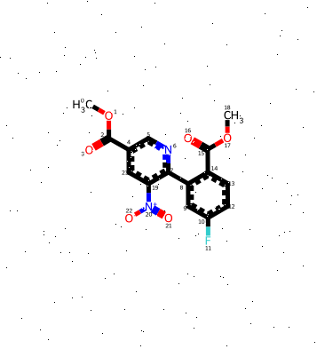 COC(=O)c1cnc(-c2cc(F)ccc2C(=O)OC)c([N+](=O)[O-])c1